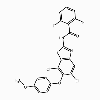 O=C(Nc1nc2cc(Cl)c(Oc3ccc(OC(F)(F)F)cc3)c(Cl)c2s1)c1c(F)cccc1F